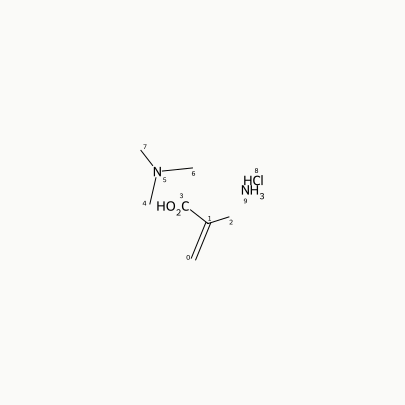 C=C(C)C(=O)O.CN(C)C.Cl.N